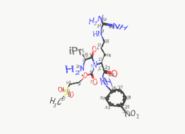 CC(C)[C@H](N)C(=O)N(C(=O)OCCS(C)(=O)=O)[C@@H](CCCNC(=N)N)C(=O)Nc1ccc([N+](=O)[O-])cc1